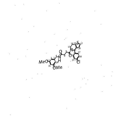 COc1cc(CNC(=O)CCC(=O)N2CCc3sccc3C2c2ccc(Cl)cc2)cc(OC)c1